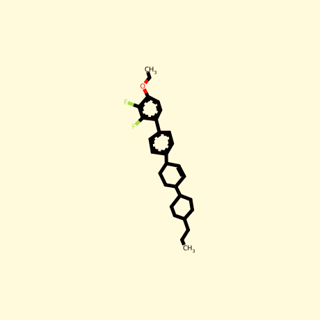 CCCC1CCC(C2C=CC(c3ccc(-c4ccc(OCC)c(F)c4F)cc3)CC2)CC1